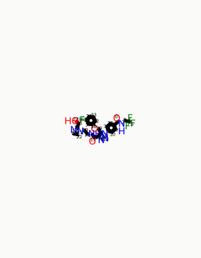 O=C(NCC(F)(F)F)c1ccc(-n2nnc(C(=O)NCCn3ccnc3CO)c2COc2cccc(F)c2)cc1